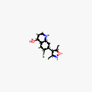 Cc1noc(C)c1-c1cc2nccc(O)c2cc1F